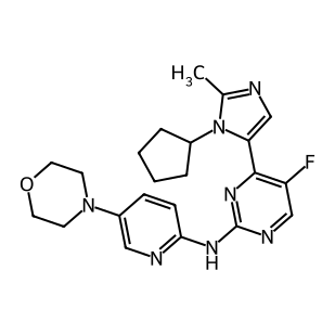 Cc1ncc(-c2nc(Nc3ccc(N4CCOCC4)cn3)ncc2F)n1C1CCCC1